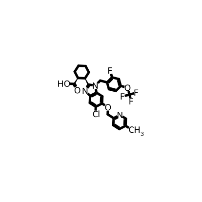 Cc1ccc(COc2cc3c(cc2Cl)nc([C@@H]2CCCC[C@@H]2C(=O)O)n3Cc2ccc(OC(F)(F)F)cc2F)nc1